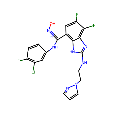 O/N=C(/Nc1ccc(F)c(Cl)c1)c1cc(F)c(F)c2nc(NCCn3cccn3)[nH]c12